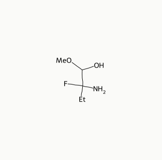 CCC(N)(F)C(O)OC